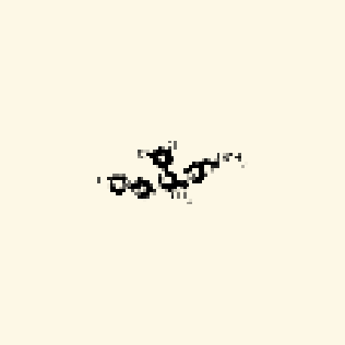 COC(=O)CC1CCN(Cc2cc(-c3cc(Cl)cc(Cl)c3)nc(Oc3ccc(N4CCNCC4)nc3)c2C)CC1